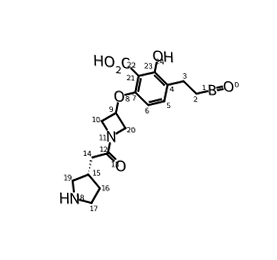 O=BCCc1ccc(OC2CN(C(=O)C[C@@H]3CCNC3)C2)c(C(=O)O)c1O